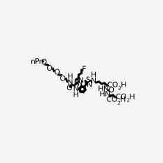 CCCOCCOCCOCCOCCNC(=O)C(Nc1cccc(-c2csc(NCCCC[C@H](NC(=O)N[C@@H](CCC(=O)O)C(=O)O)C(=O)O)n2)c1)n1cc(CCCF)nn1